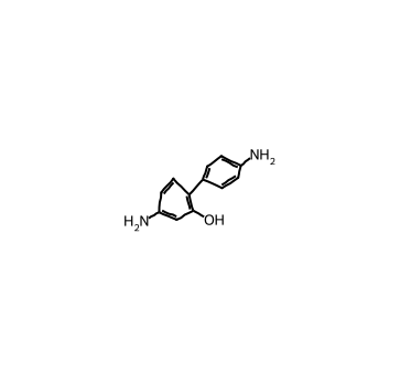 Nc1ccc(-c2ccc(N)cc2O)cc1